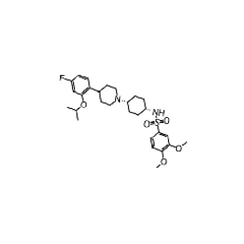 COc1ccc(S(=O)(=O)N[C@H]2CC[C@@H](N3CCC(c4ccc(F)cc4OC(C)C)CC3)CC2)cc1OC